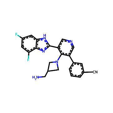 N#Cc1cccc(-c2cncc(-c3nc4c(F)cc(F)cc4[nH]3)c2N2CC(CN)C2)c1